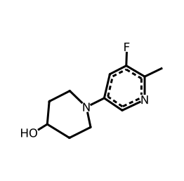 Cc1ncc(N2CCC(O)CC2)cc1F